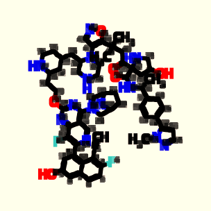 C#Cc1c(F)ccc2cc(O)cc(-c3ncc4c(N5CC6CCC(C5)N6)nc(OCCC5CC(CC6CNCCN6c6cnoc6C(C)(C)CC(=O)[C@]6(C(=O)N[C@@H](C)c7ccc(-c8ccnn8C)cc7)CC(O)CN6)CCN5)nc4c3F)c12